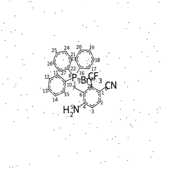 N#Cc1ccc(N)c(CP(Br)(c2ccccc2)(c2ccccc2)c2ccccc2)c1C(F)(F)F